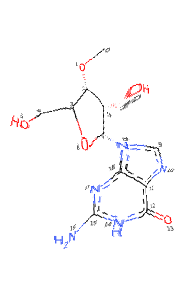 CO[C@H]1C(CO)O[C@@H](n2cnc3c(=O)[nH]c(N)nc32)[C@H]1O